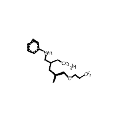 CC(COCCC(F)(F)F)CC(CNc1ccccc1)CC(=O)O